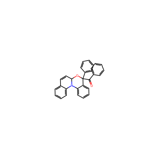 O=C(c1ccccc1)C1(c2ccccc2)OC2C=Cc3ccccc3N2c2ccccc21